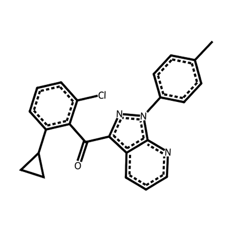 Cc1ccc(-n2nc(C(=O)c3c(Cl)cccc3C3CC3)c3cccnc32)cc1